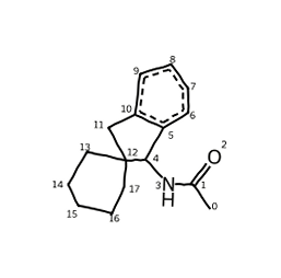 CC(=O)NC1c2ccccc2CC12CCCCC2